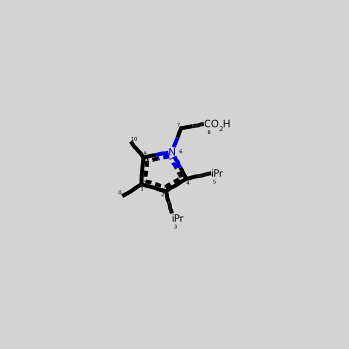 Cc1c(C(C)C)c(C(C)C)n(CC(=O)O)c1C